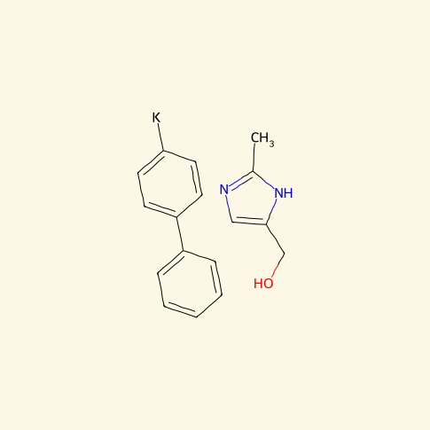 Cc1ncc(CO)[nH]1.[K][c]1ccc(-c2ccccc2)cc1